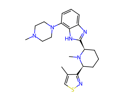 Cc1csnc1[C@@H]1CCC[C@H](c2nc3cccc(N4CCN(C)CC4)c3[nH]2)N1C